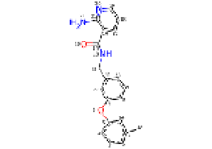 Cc1cccc(Oc2cccc(CNC(=O)c3cccnc3N)c2)c1